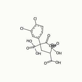 O=C(O)C(CC(C(=O)O)(c1ccc(Cl)c(Cl)c1)P(=O)(O)O)P(=O)(O)O